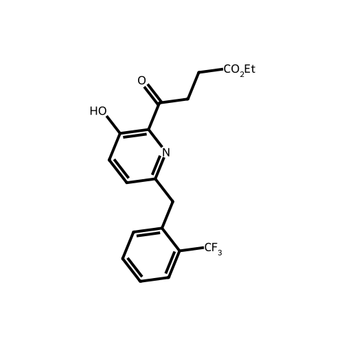 CCOC(=O)CCC(=O)c1nc(Cc2ccccc2C(F)(F)F)ccc1O